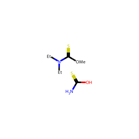 CCN(CC)C(=S)OC.NC(O)=S